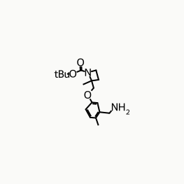 Cc1ccc(OCC2(C)CCN2C(=O)OC(C)(C)C)cc1CN